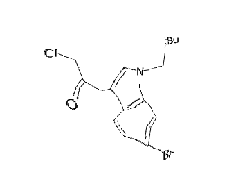 CC(C)(C)Cn1cc(C(=O)CCl)c2ccc(Br)cc21